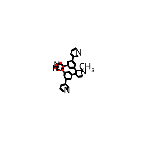 Cc1nccc(-c2cc(-c3cccnc3)cc(-c3cccnc3)c2)c1-c1cc(-c2cccnc2)cc(-c2cccnc2)c1